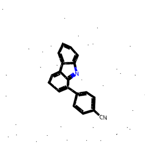 N#Cc1ccc(C2=CCC=C3C2=Nc2ccccc23)cc1